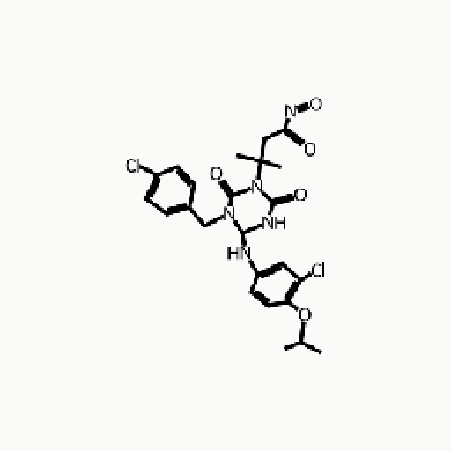 CC(C)Oc1ccc(NC2NC(=O)N(C(C)(C)CC(=O)N=O)C(=O)N2Cc2ccc(Cl)cc2)cc1Cl